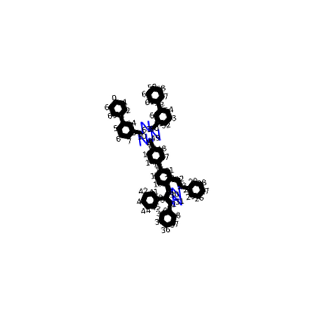 c1ccc(-c2cccc(-c3nc(-c4ccc(-c5ccc6c(c5)cc(-c5ccccc5)n5nc(-c7ccccc7)c(-c7ccccc7)c65)cc4)nc(-c4cccc(-c5ccccc5)c4)n3)c2)cc1